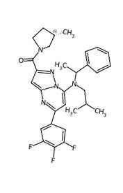 CC(C)CN(c1cc(-c2cc(F)c(F)c(F)c2)nc2cc(C(=O)N3CC[C@H](C)C3)nn12)C(C)c1ccccc1